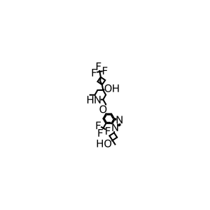 CC1CC(O)(C23CC(C(F)(F)F)(C2)C3)CC(COc2cc(C(F)(F)F)c3c(c2)ncn3C2CC(C)(O)C2)N1